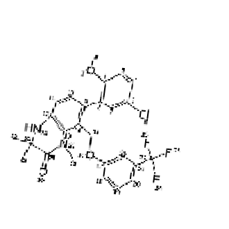 COc1ccc(Cl)cc1-c1ccc2c(c1COc1cccc(C(F)(F)F)c1)N(C)C(=O)C(C)(C)N2